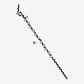 CCCCCCCCC=CCCCCCCCCOCCOCCOCCOCCOCCOCCOCCOCCOCCOCCOC(=O)CCN1CC[N+](C)(CCCCCC)CC1.[Br-]